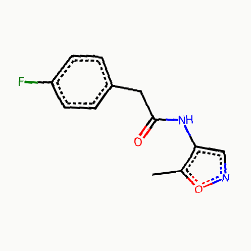 Cc1oncc1NC(=O)Cc1ccc(F)cc1